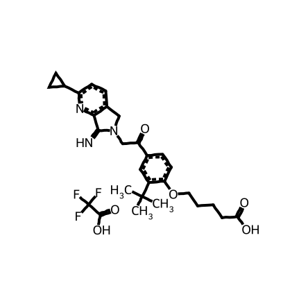 CC(C)(C)c1cc(C(=O)CN2Cc3ccc(C4CC4)nc3C2=N)ccc1OCCCCC(=O)O.O=C(O)C(F)(F)F